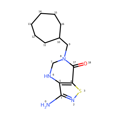 Nc1nsc2c1NCN(CC1CCCCCC1)C2=O